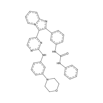 O=C(Nc1ccccc1)Nc1cccc(-c2nc3ccccn3c2-c2ccnc(Nc3cccc(N4CCOCC4)c3)n2)c1